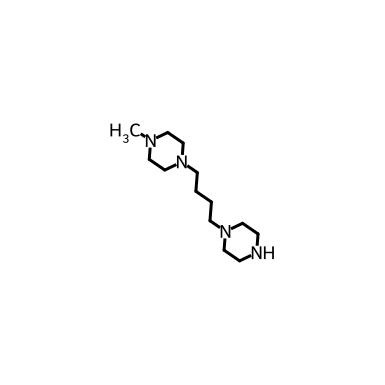 CN1CCN(CCCCN2CCNCC2)CC1